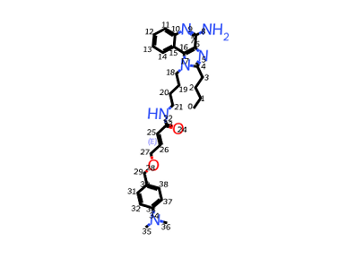 CCCCc1nc2c(N)nc3ccccc3c2n1CCCCNC(=O)/C=C/COCc1ccc(N(C)C)cc1